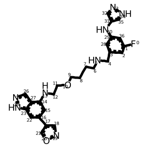 Fc1cc(CNCCCCOCCNc2cc(-c3cnoc3)cc3[nH]ncc23)cc(Nc2cn[nH]c2)c1